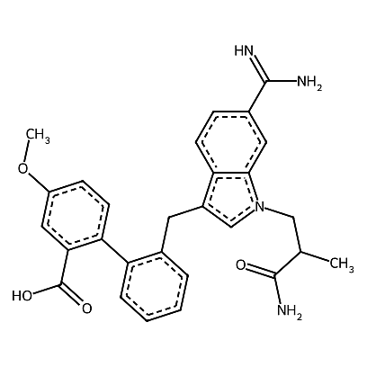 COc1ccc(-c2ccccc2Cc2cn(CC(C)C(N)=O)c3cc(C(=N)N)ccc23)c(C(=O)O)c1